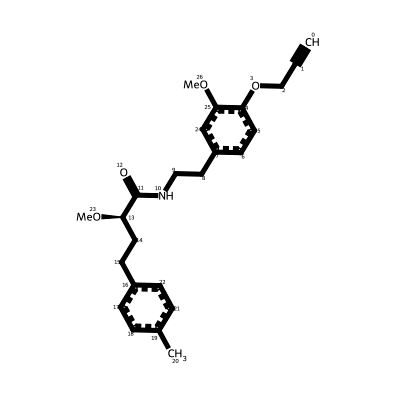 C#CCOc1ccc(CCNC(=O)[C@@H](CCc2ccc(C)cc2)OC)cc1OC